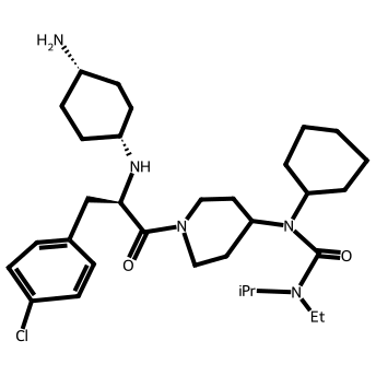 CCN(C(=O)N(C1CCCCC1)C1CCN(C(=O)[C@@H](Cc2ccc(Cl)cc2)N[C@H]2CC[C@@H](N)CC2)CC1)C(C)C